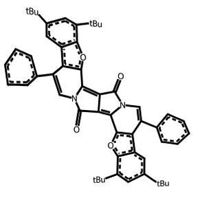 CC(C)(C)c1cc(C(C)(C)C)c2oc3c(c2c1)C(c1ccccc1)=CN1C(=O)C2=C4c5oc6c(C(C)(C)C)cc(C(C)(C)C)cc6c5C(c5ccccc5)=CN4C(=O)C2=C31